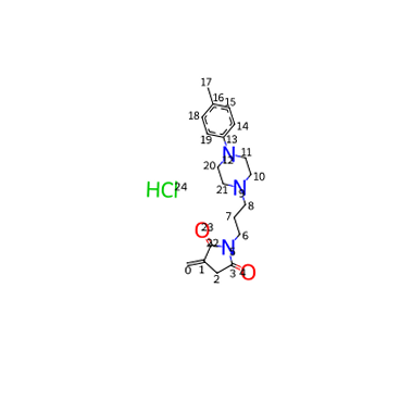 C=C1CC(=O)N(CCCN2CCN(c3ccc(C)cc3)CC2)C1=O.Cl